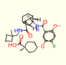 COc1cc(F)c(O[C@H]2CC[C@@](C)(C(=O)O)CC2)cc1C(=O)N[C@H]1C2CCC(CC2)[C@H]1C(=O)NCC1(C)CCC1